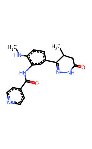 CNc1ccc(C2=NNC(=O)CC2C)cc1NC(=O)c1ccncc1